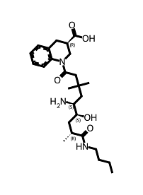 CCCCNC(=O)[C@H](C)C[C@H](O)[C@@H](N)CC(C)(C)CC(=O)N1C[C@H](C(=O)O)Cc2ccccc21